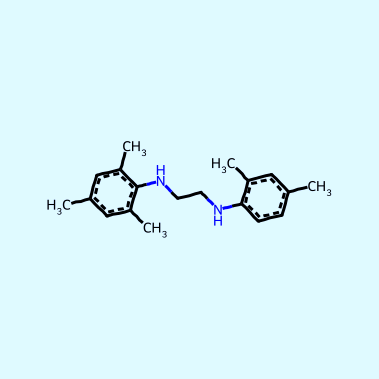 Cc1ccc(NCCNc2c(C)cc(C)cc2C)c(C)c1